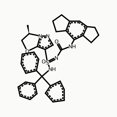 C[C@@H]1COc2c(S(=O)(=NC(=O)Nc3c4c(cc5c3CCC5)CCC4)NC(c3ccccc3)(c3ccccc3)c3ccccc3)cnn21